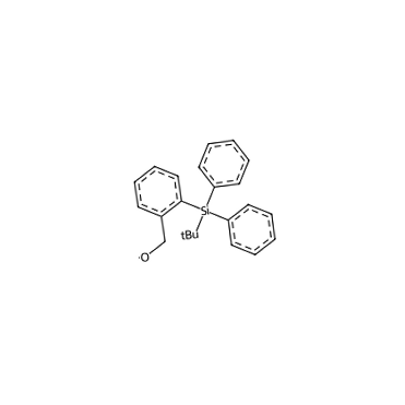 CC(C)(C)[Si](c1ccccc1)(c1ccccc1)c1ccccc1C[O]